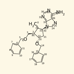 C=C1[C@H](COCc2ccccc2)[C@@H](OCc2ccccc2)C[C@@H]1n1cnc2c(N)ncnc21